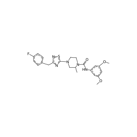 COc1cc(NC(=O)N2CCN(c3nc(Cc4ccc(F)cc4)ns3)CC2C)cc(OC)c1